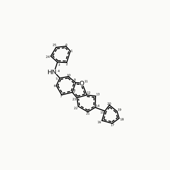 c1ccc(Nc2ccc3c(c2)oc2cc(-c4ccccc4)ccc23)cc1